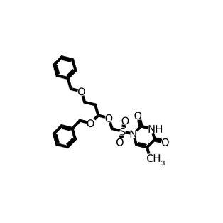 Cc1cn(S(=O)(=O)COC(CCOCc2ccccc2)OCc2ccccc2)c(=O)[nH]c1=O